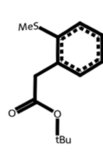 CSc1ccccc1CC(=O)OC(C)(C)C